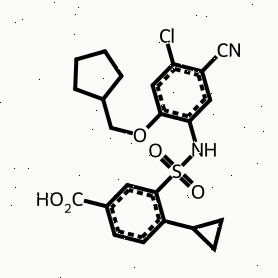 N#Cc1cc(NS(=O)(=O)c2cc(C(=O)O)ccc2C2CC2)c(OCC2CCCC2)cc1Cl